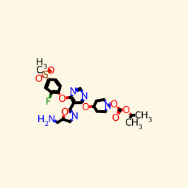 CC(C)OC(=O)ON1CCC(Oc2ncnc(Oc3ccc(S(C)(=O)=O)cc3F)c2C2=NCC(CN)O2)CC1